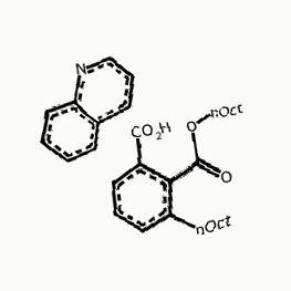 CCCCCCCCOC(=O)c1c(CCCCCCCC)cccc1C(=O)O.c1ccc2ncccc2c1